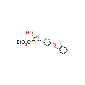 CCOC(=O)c1sc(-c2ccc(OCc3ccccc3F)cc2)nc1O